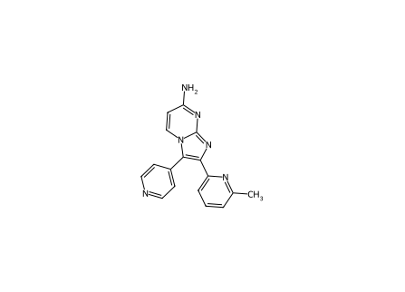 Cc1cccc(-c2nc3nc(N)ccn3c2-c2ccncc2)n1